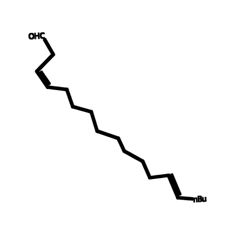 CCCCC=CCCCCCCCC/C=C\CC=O